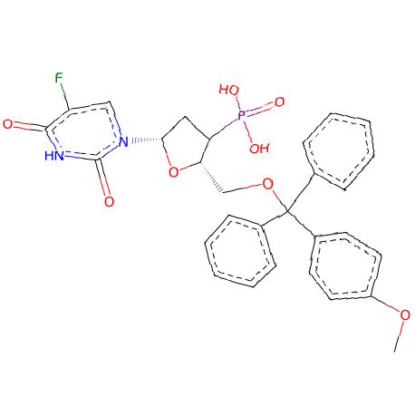 COc1ccc(C(OC[C@@H]2O[C@H](n3cc(F)c(=O)[nH]c3=O)CC2P(=O)(O)O)(c2ccccc2)c2ccccc2)cc1